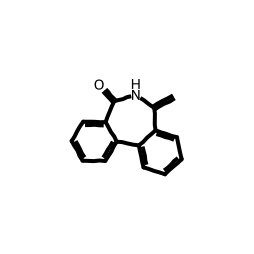 C=C1NC(=O)c2ccccc2-c2ccccc21